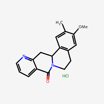 COc1cc2c(cc1C)C1Cc3ncccc3C(=O)N1CC2.Cl